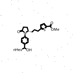 CCCCCCC(O)c1ccc(N2C(=O)CC[C@@H]2CCCc2ccc(C(=O)OC)s2)cc1